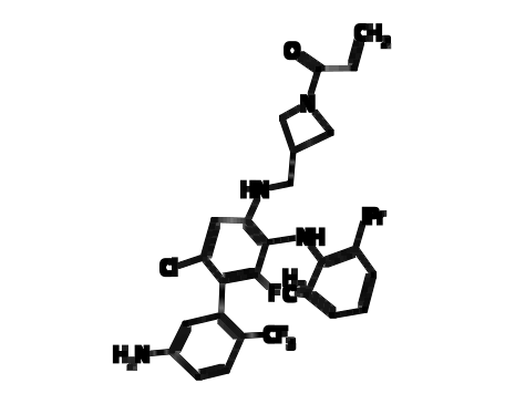 C=CC(=O)N1CC(CNc2cc(Cl)c(-c3cc(N)ccc3C(F)(F)F)c(F)c2Nc2c(C)cccc2C(C)C)C1